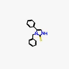 S=c1[nH]cc(-c2ccccc2)n1Cc1ccccc1